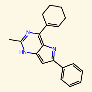 Cc1nc(C2=CCCCC2)c2nc(-c3ccccc3)cc-2[nH]1